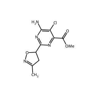 COC(=O)c1nc(C2CC(C)=NO2)nc(N)c1Cl